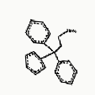 CNCCC(c1ccccc1)(c1ccccc1)c1ccccc1